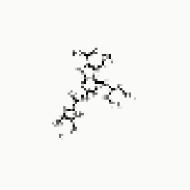 CCc1[nH]c(C(=O)Nc2nc(OC(CC)CC)c3c(CC)c(C(=O)O)sc3n2)nc1Cl